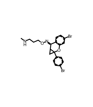 CNCCCON=C1c2ccc(Br)cc2OC2(c3ccc(Br)cc3)CC12